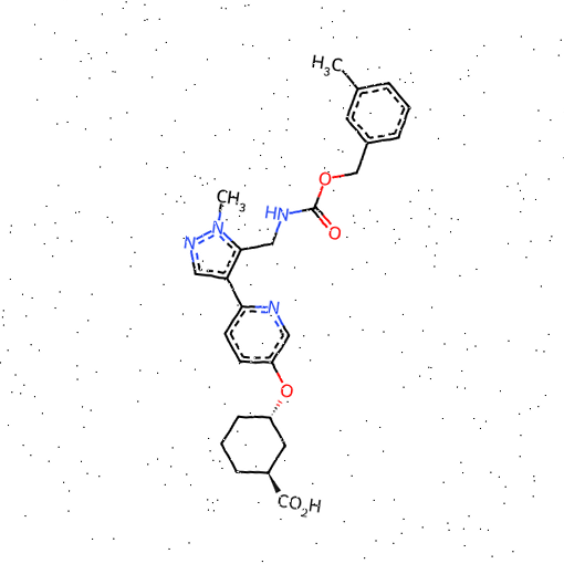 Cc1cccc(COC(=O)NCc2c(-c3ccc(O[C@H]4CCC[C@H](C(=O)O)C4)cn3)cnn2C)c1